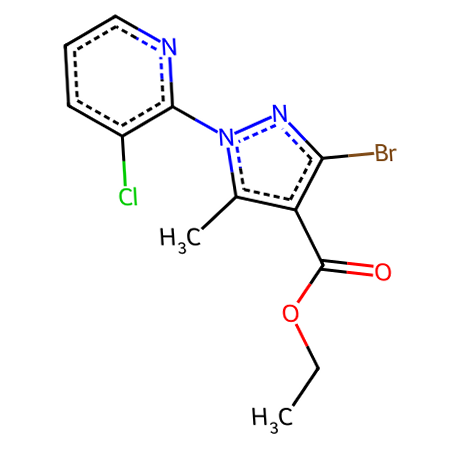 CCOC(=O)c1c(Br)nn(-c2ncccc2Cl)c1C